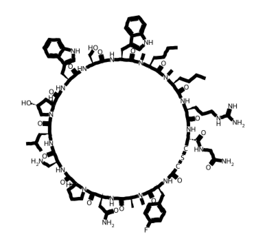 CCCC[C@H]1C(=O)N(C)[C@@H](CCCC)C(=O)N[C@@H](CCCNC(=N)N)C(=O)N[C@H](C(=O)NCC(N)=O)CSCC(=O)N[C@@H](Cc2ccc(F)cc2)C(=O)N(C)[C@@H](C)C(=O)N[C@@H](CC(N)=O)C(=O)N2CCC[C@H]2C(=O)N[C@@H](CN)C(=O)N[C@@H](CC(C)C)C(=O)N2C[C@H](O)C[C@H]2C(=O)N[C@@H](Cc2c[nH]c3ccccc23)C(=O)N[C@@H](CO)C(=O)N[C@@H](Cc2c[nH]c3ccccc23)C(=O)N1C